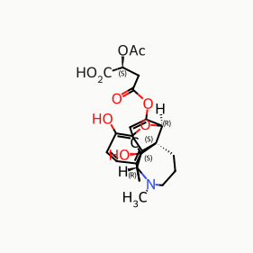 CC(=O)O[C@@H](CC(=O)OC1=CC[C@@]2(O)[C@H]3Cc4ccc(O)c5c4[C@@]2(CCCN3C)[C@H]1O5)C(=O)O